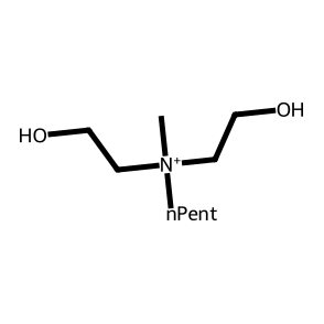 CCCCC[N+](C)(CCO)CCO